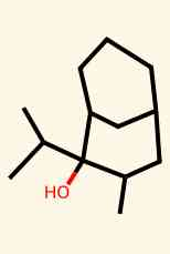 CC(C)C1(O)C(C)CC2CCCC1C2